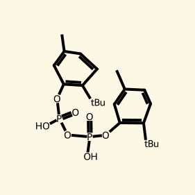 Cc1ccc(C(C)(C)C)c(OP(=O)(O)OP(=O)(O)Oc2cc(C)ccc2C(C)(C)C)c1